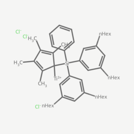 CCCCCCc1cc(CCCCCC)cc([Si](c2ccccc2)(c2cc(CCCCCC)cc(CCCCCC)c2)[C]2([Ti+3])C(C)=C(C)C(C)=C2C)c1.[Cl-].[Cl-].[Cl-]